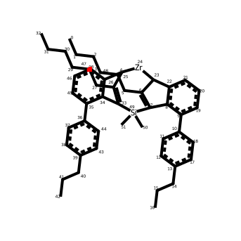 CCCCCCC1=C2c3c(-c4ccc(CCC)cc4)cccc3[CH]1[Zr][CH]1C(CCCCCC)=C(c3c(-c4ccc(CCC)cc4)cccc31)[Si]2(C)C